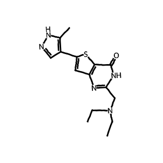 CCN(CC)Cc1nc2cc(-c3cn[nH]c3C)sc2c(=O)[nH]1